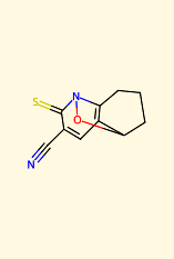 N#Cc1cc2c3n(c1=S)OC2CCC3